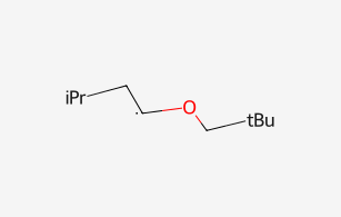 CC(C)C[CH]OCC(C)(C)C